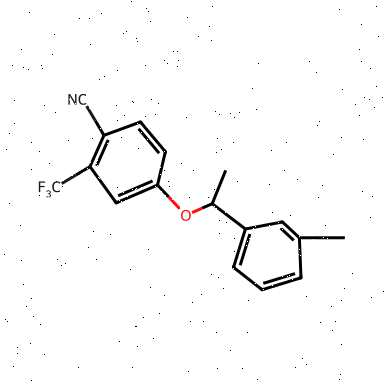 Cc1cccc(C(C)Oc2ccc(C#N)c(C(F)(F)F)c2)c1